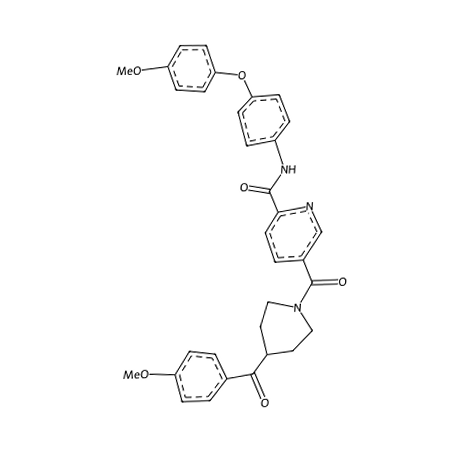 COc1ccc(Oc2ccc(NC(=O)c3ccc(C(=O)N4CCC(C(=O)c5ccc(OC)cc5)CC4)cn3)cc2)cc1